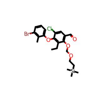 CCc1c(Oc2cccc(Br)c2C)c(Cl)cc(C=O)c1OCOCC[Si](C)(C)C